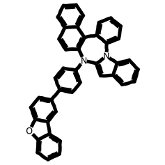 c1ccc2c(c1)-c1c(ccc3ccccc13)N(c1ccc(-c3ccc4oc5ccccc5c4c3)cc1)c1cc3ccccc3n1-2